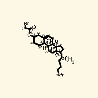 CC(C)CCC[C@@H](C)C1CC[C@H]2[C@@H]3CC=C4CC(OC(=O)CBr)CC[C@]4(C)[C@H]3CC[C@]12C